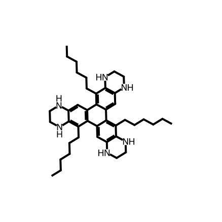 CCCCCCc1c2c(cc3c1c1cc4c(c(CCCCCC)c1c1cc5c(c(CCCCCC)c31)NCCN5)NCCN4)NCCN2